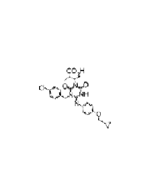 C[C@H](C(=O)O)[C@@H](C)n1c(=O)[nH]/c(=N\c2ccc(OCC3CC3)cc2)n(Cc2ccc(Cl)cc2)c1=O